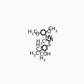 COc1ccc(OC)c(-n2nnc(Sc3ccc(C(C)(C)C)c(O)c3)c2C)c1